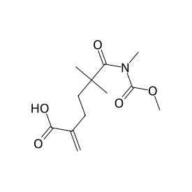 C=C(CCC(C)(C)C(=O)N(C)C(=O)OC)C(=O)O